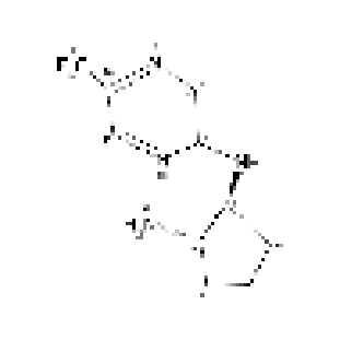 N[C@H]1CCC[C@@H]1Nc1cnc(C(F)(F)F)cn1